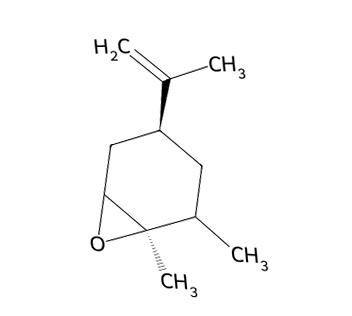 C=C(C)[C@H]1CC(C)[C@@]2(C)OC2C1